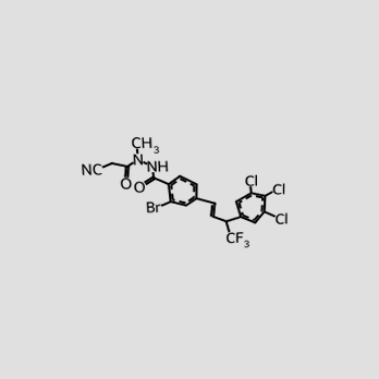 CN(NC(=O)c1ccc(/C=C/C(c2cc(Cl)c(Cl)c(Cl)c2)C(F)(F)F)cc1Br)C(=O)CC#N